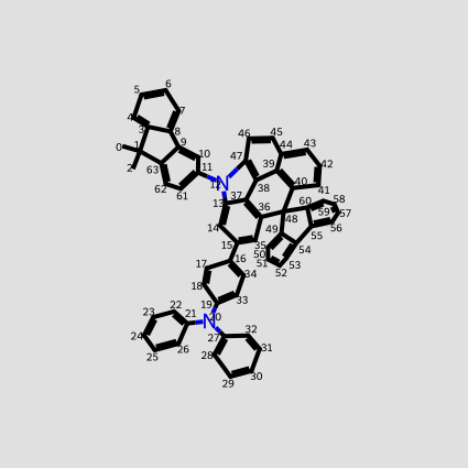 CC1(C)c2ccccc2-c2cc(-n3c4cc(-c5ccc(N(c6ccccc6)c6ccccc6)cc5)cc5c4c4c6c(cccc6ccc43)C53c4ccccc4-c4ccccc43)ccc21